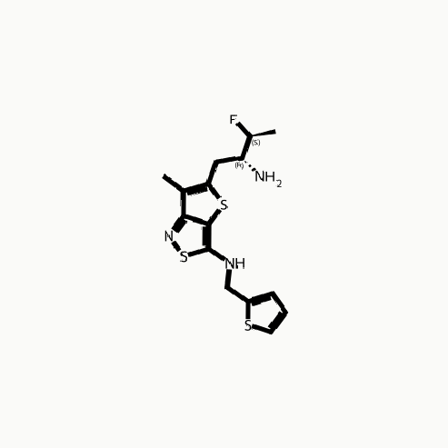 Cc1c(C[C@@H](N)[C@H](C)F)sc2c(NCc3cccs3)snc12